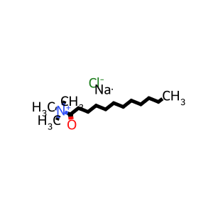 CCCCCCCCCCCC(=O)[N+](C)(C)C.[Cl-].[Na]